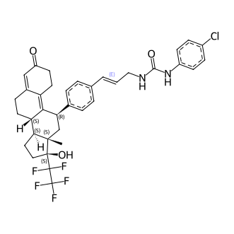 C[C@]12C[C@H](c3ccc(/C=C/CNC(=O)Nc4ccc(Cl)cc4)cc3)C3=C4CCC(=O)C=C4CC[C@H]3[C@@H]1CC[C@@]2(O)C(F)(F)C(F)(F)F